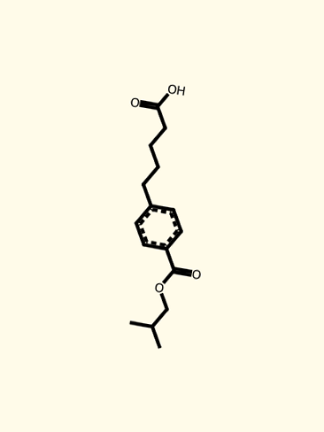 CC(C)COC(=O)c1ccc(CCCCC(=O)O)cc1